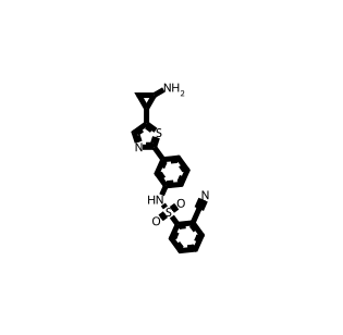 N#Cc1ccccc1S(=O)(=O)Nc1cccc(-c2ncc(C3CC3N)s2)c1